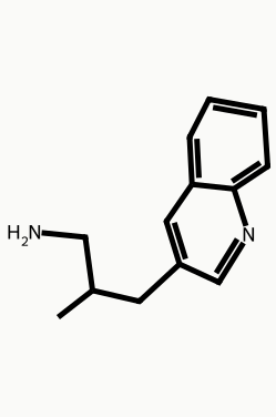 CC(CN)Cc1cnc2ccccc2c1